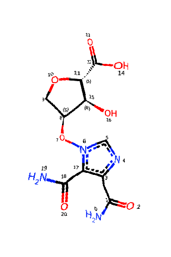 NC(=O)c1ncn(O[C@H]2CO[C@H](C(=O)O)[C@H]2O)c1C(N)=O